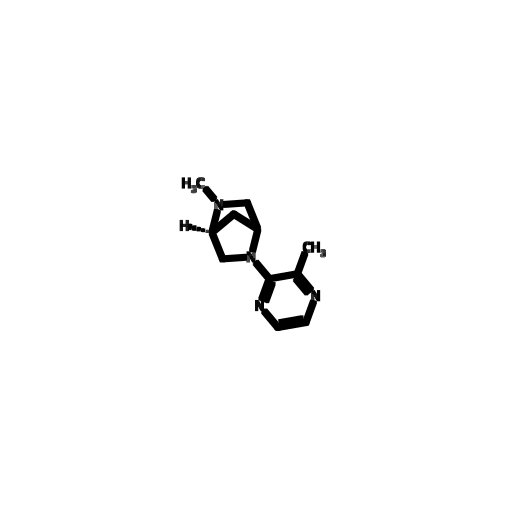 Cc1nccnc1N1C[C@@H]2CC1CN2C